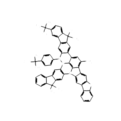 Cc1cc2c3c4c1c1cc5oc6ccccc6c5cc1n4-c1cc4c(cc1B3N(c1ccc(C(C)(C)C)cc1)c1cc3c(cc1-2)C(C)(C)c1ccc(C(C)(C)C)cc1-3)-c1ccccc1C4(C)C